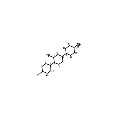 CC1CCC(C2CCC(C3CCC(S)CC3)CC2F)CC1